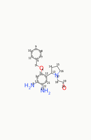 Nc1cc(OCc2ccccc2)c(C2CCCN2CC=O)cc1N